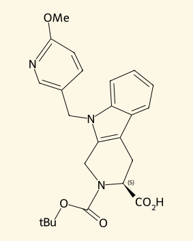 COc1ccc(Cn2c3c(c4ccccc42)C[C@@H](C(=O)O)N(C(=O)OC(C)(C)C)C3)cn1